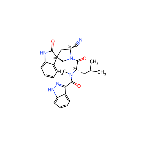 CC(C)C[C@@H](C(=O)N1C[C@]2(C[C@H]1C#N)C(=O)Nc1ccccc12)N(C)C(=O)c1n[nH]c2ccccc12